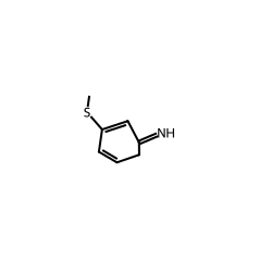 CSC1=CC(=N)CC=C1